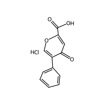 Cl.O=C(O)c1cc(=O)c(-c2ccccc2)co1